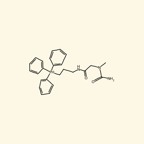 CN(CC(=O)NCCC[PH](c1ccccc1)(c1ccccc1)c1ccccc1)C(N)=O